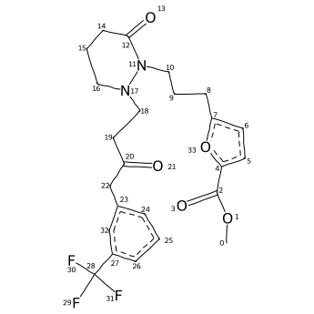 COC(=O)c1ccc(CCCN2C(=O)CCCN2CCC(=O)Cc2cccc(C(F)(F)F)c2)o1